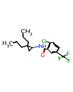 CCCC1(CCC)C[C@@H]1NC(=O)c1cc(C(F)(F)F)ccc1Cl